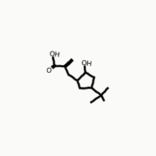 C=C(CC1CC(C(C)(C)C)CC1O)C(=O)O